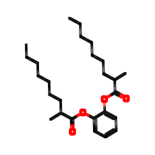 CCCCCCCC(C)C(=O)Oc1ccccc1OC(=O)C(C)CCCCCCC